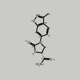 Cc1noc2cc(N3C[C@H](C(N)=O)OC3=O)ccc12